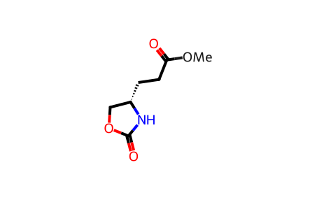 COC(=O)CC[C@H]1COC(=O)N1